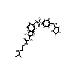 CC(C)NCCNC(=O)Nc1nc2cc(OS(=O)(=O)c3ccc(NC4CCCC4)cc3)ccc2[nH]1